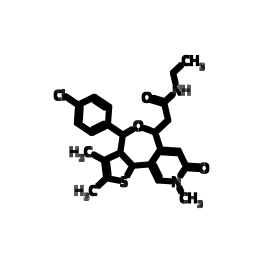 CCNC(=O)CC1OC(c2ccc(Cl)cc2)C2C(C)=C(C)SC2c2cn(C)c(=O)cc21